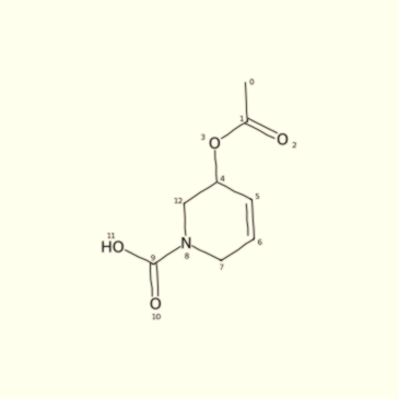 CC(=O)OC1C=CCN(C(=O)O)C1